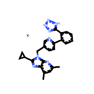 Cc1cc(C)c2nc(C3CC3)n(Cc3ccc(-c4ccccc4-c4nnn[nH]4)nc3)c2n1.[K]